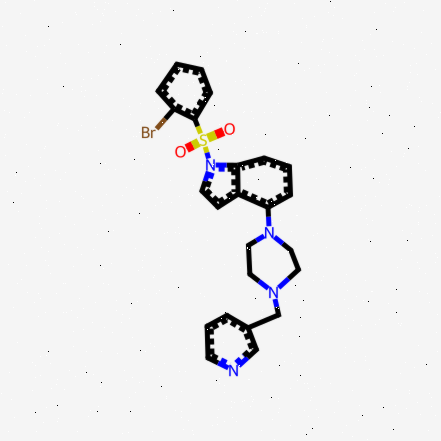 O=S(=O)(c1ccccc1Br)n1ccc2c(N3CCN(Cc4cccnc4)CC3)cccc21